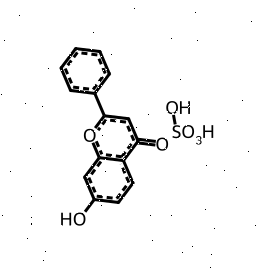 O=S(=O)(O)O.O=c1cc(-c2ccccc2)oc2cc(O)ccc12